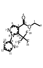 CCOC(=O)c1cnn(-c2nccs2)c1C(F)(F)F